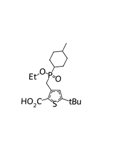 CCOP(=O)(Cc1cc(C(C)(C)C)sc1C(=O)O)C1CCC(C)CC1